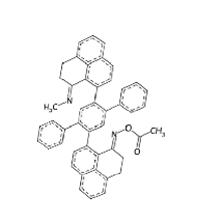 C/N=C1\CCc2cccc3ccc(-c4cc(-c5ccccc5)c(-c5ccc6cccc7c6c5/C(=N/OC(C)=O)CC7)cc4-c4ccccc4)c1c23